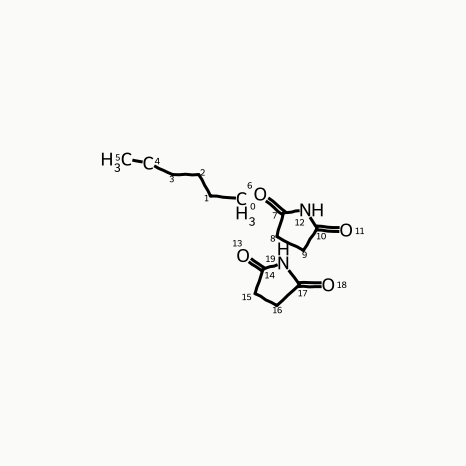 CCCCCC.O=C1CCC(=O)N1.O=C1CCC(=O)N1